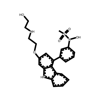 CS(=O)(=O)N(O)c1cccc(-c2cc(OCCNCCO)cc3[nH]c4ccccc4c23)c1